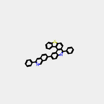 c1ccc(-c2cc3ccc(-c4ccc5nc(-c6ccccc6)c6ccc7sc8ccccc8c7c6c5c4)cc3cn2)cc1